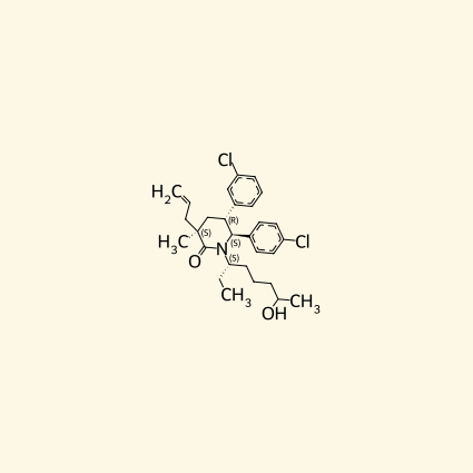 C=CC[C@@]1(C)C[C@H](c2cccc(Cl)c2)[C@@H](c2ccc(Cl)cc2)N([C@@H](CC)CCCC(C)O)C1=O